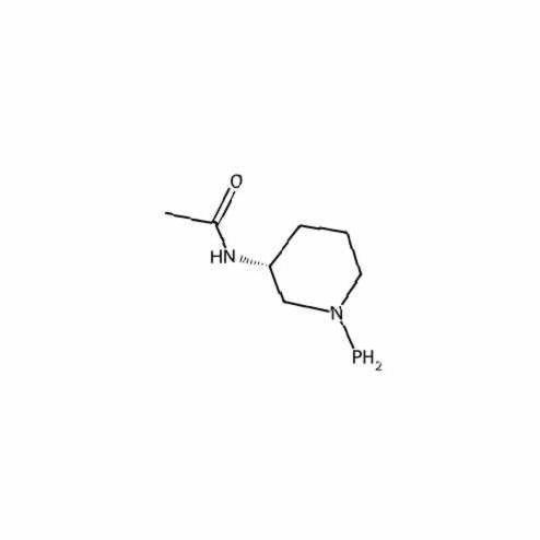 CC(=O)N[C@@H]1CCCN(P)C1